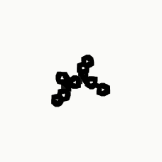 c1ccc(-c2ccc(N(c3ccc4ccccc4c3)c3ccc4c(c3)c3ccccc3n4-c3ccc4ccccc4c3)cc2)cc1